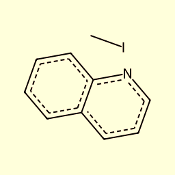 CI.c1ccc2ncccc2c1